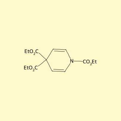 CCOC(=O)N1C=CC(C(=O)OCC)(C(=O)OCC)C=C1